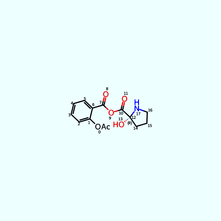 CC(=O)Oc1ccccc1C(=O)OC(=O)[C@]1(O)CCCN1